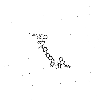 COC(=O)N[C@H](C(=O)N1CCC[C@H]1c1ncc(-c2ccc3cc(-c4ccc5nc([C@@H]6CCCN6C(=O)[C@@H](NC(=O)OC)C6C=CCC=C6)[nH]c5n4)ccc3c2)[nH]1)C1C=CCC=C1